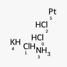 Cl.Cl.Cl.N.[KH].[Pt]